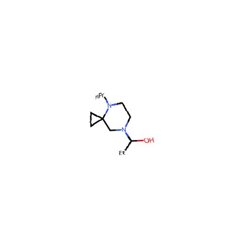 CCCN1CCN(C(O)CC)CC12CC2